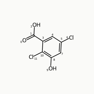 O=C(O)c1cc(Cl)cc(O)c1Cl